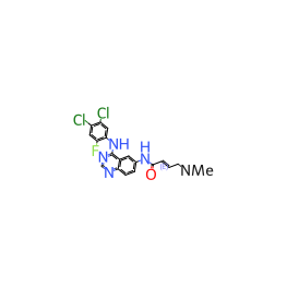 CNC/C=C/C(=O)Nc1ccc2ncnc(Nc3cc(Cl)c(Cl)cc3F)c2c1